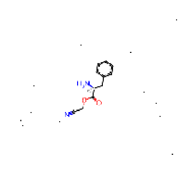 N#CCOC(=O)[C@@H](N)Cc1ccccc1